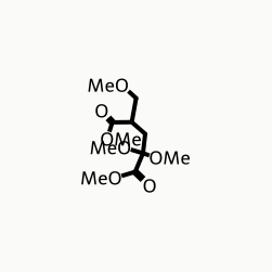 COCC(CC(OC)(OC)C(=O)OC)C(=O)OC